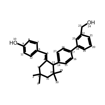 CC1(C)CC(=Cc2ccc(O)cc2)C(c2ccc(-c3cccc(CO)c3)cc2)C(C)(C)C1